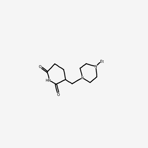 CCN1CCN(CC2CCC(=O)NC2=O)CC1